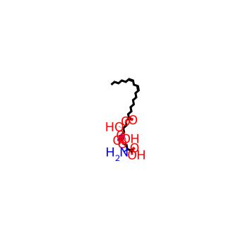 CCCCC/C=C\C/C=C\CCCCCCCC(=O)OC[C@@H](O)COP(=O)(O)OC[C@H](N)C(=O)O